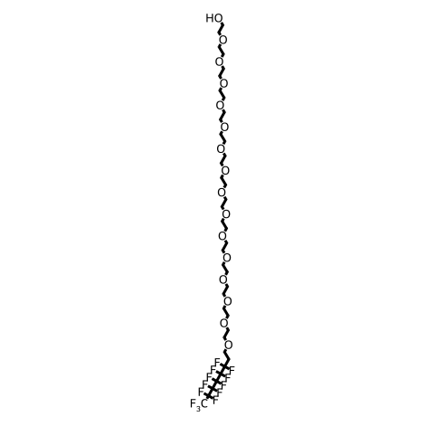 OCCOCCOCCOCCOCCOCCOCCOCCOCCOCCOCCOCCOCCOCCOCCOCCC(F)(F)C(F)(F)C(F)(F)C(F)(F)C(F)(F)C(F)(F)F